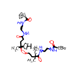 CC(C)(CCC(=O)NCCNC(=O)C(C)(C)C)OCCC(C)(C)C(=O)NCCNC(=O)C(C)(C)C